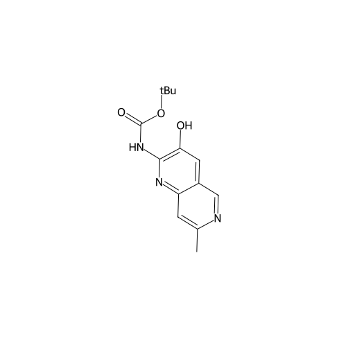 Cc1cc2nc(NC(=O)OC(C)(C)C)c(O)cc2cn1